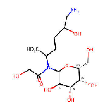 NCC(O)CCC(C(=O)O)N(C(=O)CO)C1O[C@H](CO)[C@H](O)[C@H](O)[C@H]1O